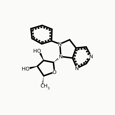 C[C@H]1O[C@@H](N2c3ncncc3CN2c2ccccc2)[C@H](O)[C@@H]1O